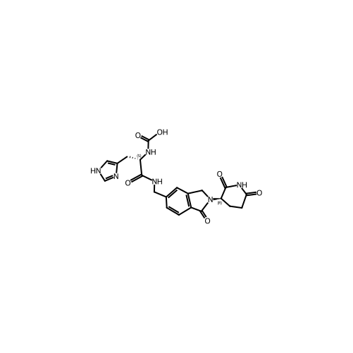 O=C(O)N[C@@H](Cc1c[nH]cn1)C(=O)NCc1ccc2c(c1)CN([C@@H]1CCC(=O)NC1=O)C2=O